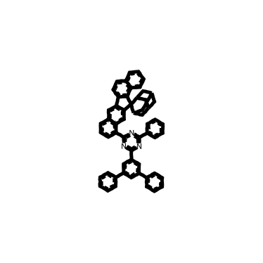 c1ccc(-c2cc(-c3ccccc3)cc(-c3nc(-c4ccccc4)nc(-c4cccc5cc6c(cc45)C4(c5c-6ccc6ccccc56)C5CC6CC(C5)CC4C6)n3)c2)cc1